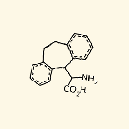 NC(C(=O)O)C1c2ccccc2CCc2ccccc21